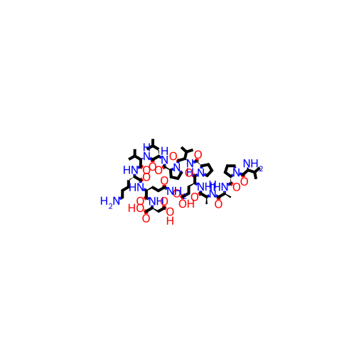 CC(C)C[C@H](NC(=O)[C@@H]1CCCN1C(=O)[C@@H](NC(=O)[C@@H]1CCCN1C(=O)[C@H](CCC(=O)O)NC(=O)[C@H](C)NC(=O)[C@H](C)NC(=O)[C@@H]1CCCN1C(=O)[C@@H](N)C(C)C)C(C)C)C(=O)N[C@H](C(=O)N[C@@H](CCCCN)C(=O)N[C@@H](CCC(N)=O)C(=O)N[C@@H](CC(=O)O)C(=O)O)C(C)C